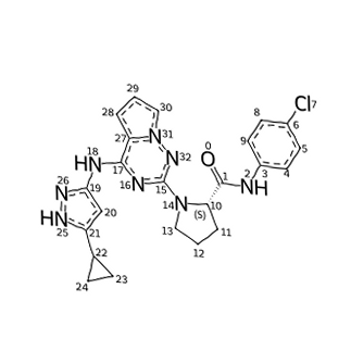 O=C(Nc1ccc(Cl)cc1)[C@@H]1CCCN1c1nc(Nc2cc(C3CC3)[nH]n2)c2cccn2n1